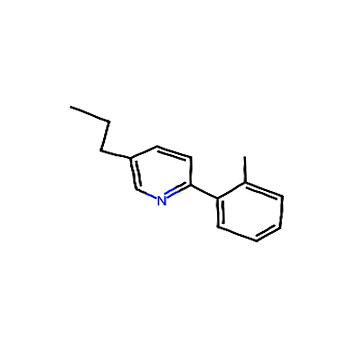 CCCc1ccc(-c2ccccc2C)nc1